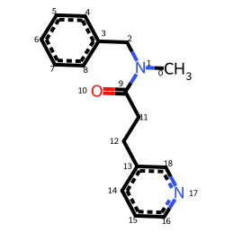 CN(Cc1ccccc1)C(=O)CCc1cccnc1